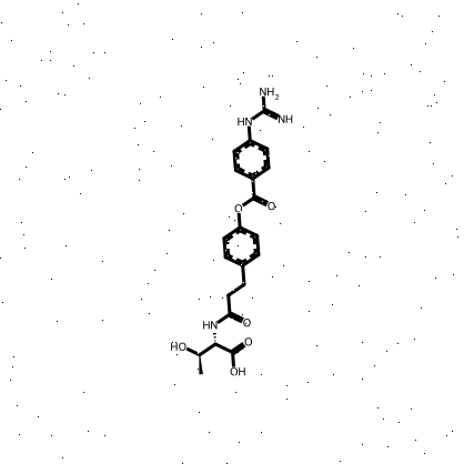 C[C@@H](O)[C@H](NC(=O)CCc1ccc(OC(=O)c2ccc(NC(=N)N)cc2)cc1)C(=O)O